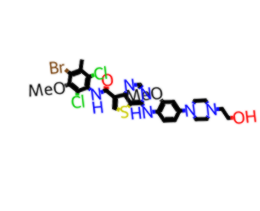 COc1cc(N2CCN(CCO)CC2)ccc1Nc1ncnc2c(C(=O)Nc3c(Cl)c(C)c(Br)c(OC)c3Cl)csc12